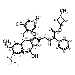 COc1ccc([C@H](Cc2c(Cl)c[n+]([O-])cc2Cl)c2cc(CNC(C(=O)OC3CN(C)C3)c3ccccc3)sc2C(=O)O)cc1OC